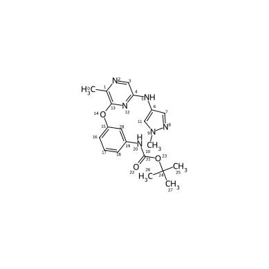 Cc1ncc(Nc2cnn(C)c2)nc1Oc1cccc(NC(=O)OC(C)(C)C)c1